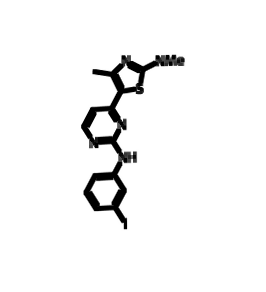 CNc1nc(C)c(-c2ccnc(Nc3cccc(I)c3)n2)s1